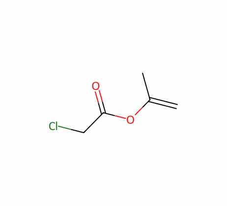 C=C(C)OC(=O)CCl